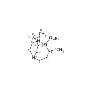 CCO[Si]12N(C)CCN(CCN1C)CN2C